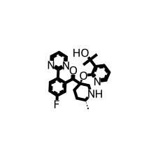 C[C@@H]1CC[C@](Oc2ncccc2C(C)(C)O)(C(=O)c2cc(F)ccc2-c2ncccn2)CN1